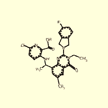 CCn1c(N2Cc3ccc(F)cc3C2)nc2c([C@@H](C)Nc3ccc(Cl)nc3C(=O)O)cc(C)cc2c1=O